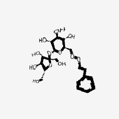 OC[C@H]1O[C@@](CO)(O[C@H]2O[C@H](COOCCc3ccccc3)[C@@H](O)[C@H](O)[C@H]2O)[C@@H](O)[C@@H]1O